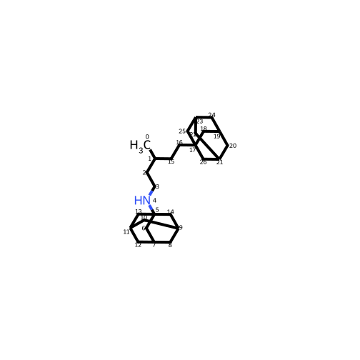 CC(CCNC12CC3CC(CC(C3)C1)C2)CCC12CC3CC(CC(C3)C1)C2